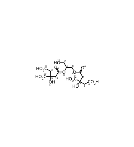 O=C(O)CC(O)(CC(=O)OCC(CO)OC(=O)CC(O)(CC(=O)O)C(=O)O)C(=O)O